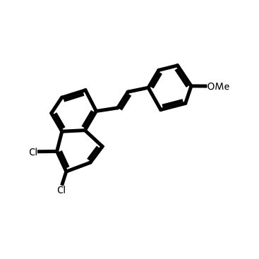 COc1ccc(C=Cc2cccc3c(Cl)c(Cl)ccc23)cc1